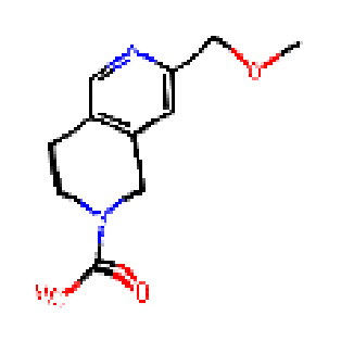 COCc1cc2c(cn1)CCN(C(=O)O)C2